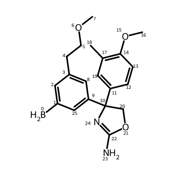 Bc1cc(CCOC)cc(C2(c3ccc(OC)c(C)c3)COC(N)=N2)c1